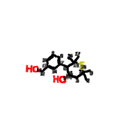 CC1(C)C[C@H](O)C(c2cccc(CO)c2)C(C)(C)S1